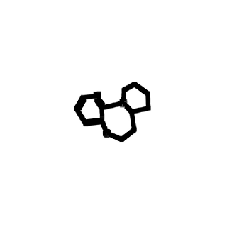 c1cnc2c(c1)OCCC1CCCCN21